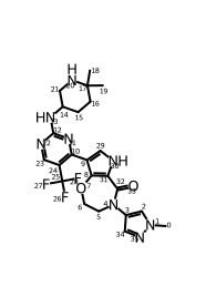 Cn1cc(N2CCOc3c(-c4nc(NC5CCC(C)(C)NC5)ncc4C(F)(F)F)c[nH]c3C2=O)cn1